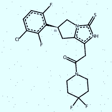 O=C(Cc1[nH]c(=S)n2c1C[C@@H](c1c(F)ccc(Cl)c1F)C2)N1CCC(F)(F)CC1